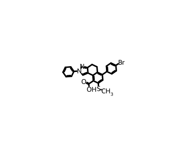 CSc1cc(-c2ccc(Br)cc2)c2c(c1C(=O)O)-c1cn(-c3ccccc3)nc1CC2